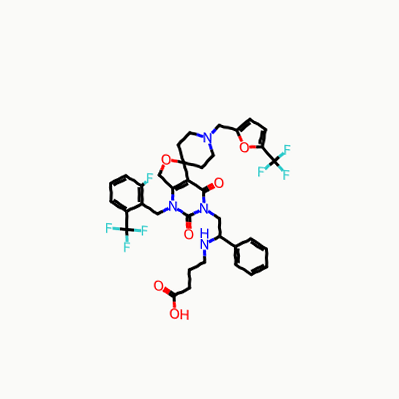 O=C(O)CCCNC(Cn1c(=O)c2c(n(Cc3c(F)cccc3C(F)(F)F)c1=O)COC21CCN(Cc2ccc(C(F)(F)F)o2)CC1)c1ccccc1